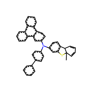 CC12C=CC=CC1c1ccc(N(c3ccc(-c4ccccc4)cc3)c3ccc4c5ccccc5c5ccccc5c4c3)cc1S2